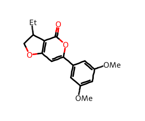 CCC1COc2cc(-c3cc(OC)cc(OC)c3)oc(=O)c21